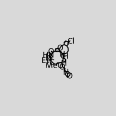 CC[C@@H]1CC/C=C/[C@@](COCCN2CCOCC2)(OC)[C@@H]2CC[C@H]2CN2CCCCC3C=C(Cl)C=CC3COc3ccc(cc32)C(=O)NS1(=O)=O